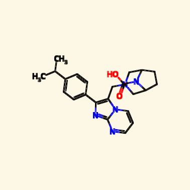 CC(C)c1ccc(-c2nc3ncccn3c2CN2CC3CCC(C2)N3C(=O)O)cc1